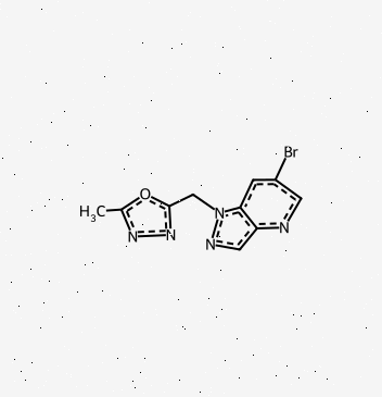 Cc1nnc(Cn2ncc3ncc(Br)cc32)o1